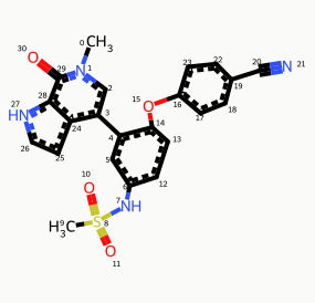 Cn1cc(-c2cc(NS(C)(=O)=O)ccc2Oc2ccc(C#N)cc2)c2cc[nH]c2c1=O